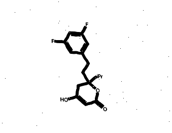 CC(C)C1(CCc2cc(F)cc(F)c2)CC(O)=CC(=O)O1